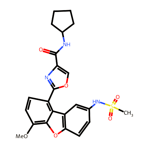 COc1ccc(-c2nc(C(=O)NC3CCCC3)co2)c2c1oc1ccc(NS(C)(=O)=O)cc12